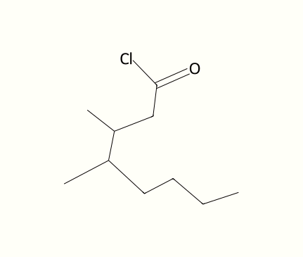 CCCCC(C)C(C)CC(=O)Cl